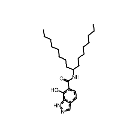 CCCCCCCCC(CCCCCCCC)NC(=O)c1ccc2cn[nH]c2c1O